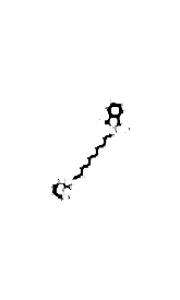 O=C1c2ccccc2C(=O)N1CCCCCCCCCCSc1ncccn1